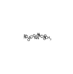 CS(=O)(=O)c1ccc(-n2ncc3c(OC4CCN(C(=O)c5ccnnc5)CC4)ncnc32)cc1